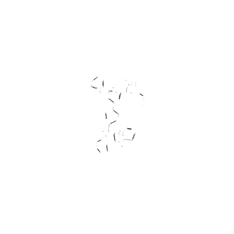 CC/C=C\CC(N)c1cc(-c2ccc(-c3nc4ccccc4c4nc5ccccn5c34)cc2)cc(-c2ccccn2)n1